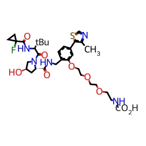 Cc1ncsc1-c1ccc(CNC(=O)[C@@H]2C[C@@H](O)CN2C(=O)C(NC(=O)C2(F)CC2)C(C)(C)C)c(OCCOCCOCCNC(=O)O)c1